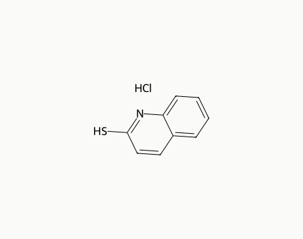 Cl.Sc1ccc2ccccc2n1